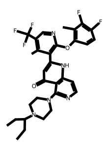 CCC(CC)N1CCN(c2nccc3[nH]c(-c4c(Oc5ccc(F)c(F)c5C)ncc(C(F)(F)F)c4C)cc(=O)c23)CC1